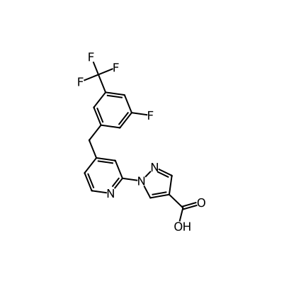 O=C(O)c1cnn(-c2cc(Cc3cc(F)cc(C(F)(F)F)c3)ccn2)c1